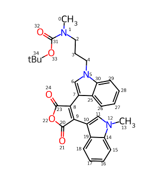 CN(CCCn1cc(C2=C(c3cn(C)c4ccccc34)C(=O)OC2=O)c2ccccc21)C(=O)OC(C)(C)C